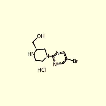 Cl.OC[C@H]1CN(c2ncc(Br)cn2)CCN1